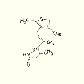 COc1csc(C)c1C=C(C)C1=NNC(=O)CC1C